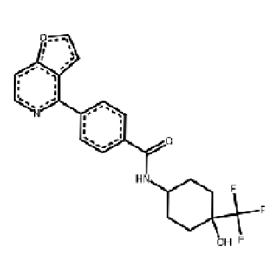 O=C(NC1CCC(O)(C(F)(F)F)CC1)c1ccc(-c2nccc3occc23)cc1